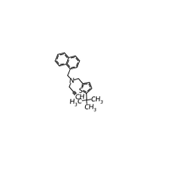 C#CCN(Cc1ccc(C(C)(C)C)s1)Cc1cccc2ccccc12